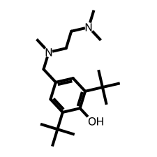 CN(C)CCN(C)Cc1cc(C(C)(C)C)c(O)c(C(C)(C)C)c1